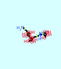 N=C(CSC1CC(CO)C(O)C(O)C1O)NCCSCCCOC1C(OCC2OC(O)C(OCCCSCCN)C(O)C2O)OC(CO)C(O)C1O